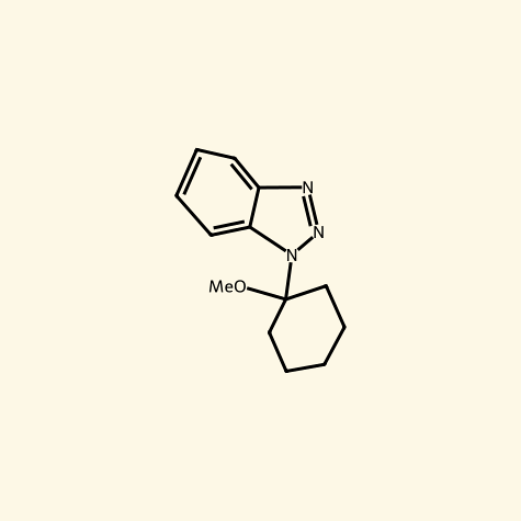 COC1(n2nnc3ccccc32)CCCCC1